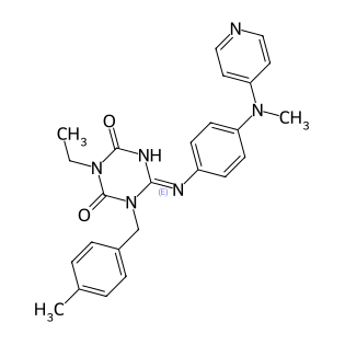 CCn1c(=O)[nH]/c(=N\c2ccc(N(C)c3ccncc3)cc2)n(Cc2ccc(C)cc2)c1=O